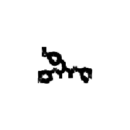 COc1ccc(C=C(C(C)=Nc2ccncc2)C(C)=Nc2ccncc2)cc1